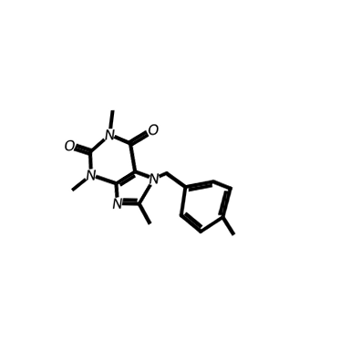 Cc1ccc(Cn2c(C)nc3c2c(=O)n(C)c(=O)n3C)cc1